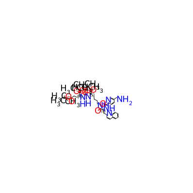 CC(C)(C)OC(=O)CC[C@@H](NC(=O)N[C@@H](CCCCNC(=O)[C@H](Cc1ccc2ccccc2n1)NC(=O)c1ccc(CN)cn1)C(=O)OC(C)(C)C)C(=O)OC(C)(C)C